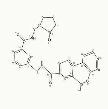 CCN1CCCC1CNC(=O)c1cccc(CNC(=O)c2ccc3c(c2)C(C)Oc2cnccc2-3)c1